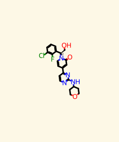 O=c1cc(-c2ccnc(NC3CCOCC3)n2)ccn1[C@H](CO)c1cccc(Cl)c1F